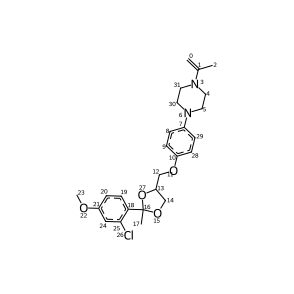 C=C(C)N1CCN(c2ccc(OCC3COC(C)(c4ccc(OC)cc4Cl)O3)cc2)CC1